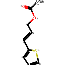 COC(=O)OCC=Cc1cccs1